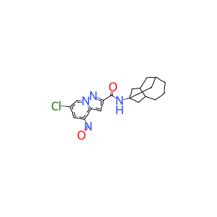 O=Nc1cc(Cl)cn2nc(C(=O)NC34CC5CCCC(C3)C(C5)C4)cc12